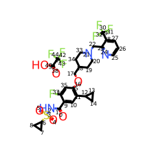 O=C(NS(=O)(=O)C1CC1)c1cc(C2CC2)c(OCC2CCN(Cc3ncccc3C(F)(F)F)CC2)cc1F.O=C(O)C(F)(F)F